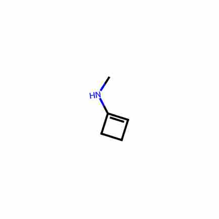 CNC1=CCC1